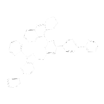 C1=Cc2c(nc3ccccc3c2-c2cc(Cn3nc(-c4ccccc4)c4cc(-c5ccccc5)ccc43)cc(-c3ccc(-c4ccccn4)cc3)c2)CC1